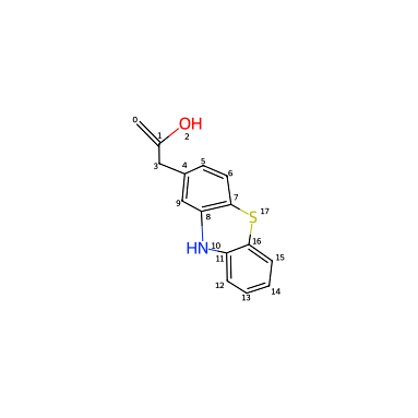 C=C(O)Cc1ccc2c(c1)Nc1ccccc1S2